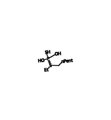 CCCCCCS(CC)=P(O)(O)S